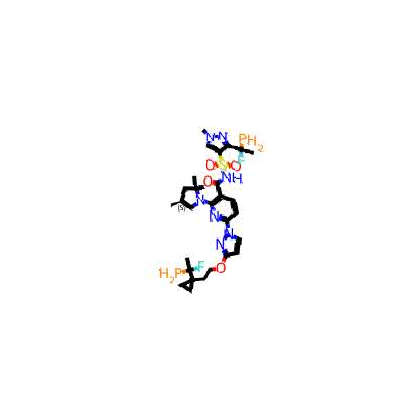 C[C@@H]1CN(c2nc(-n3ccc(OCCC4(C(C)(F)P)CC4)n3)ccc2C(=O)NS(=O)(=O)c2cn(C)nc2C(C)(F)P)C(C)(C)C1